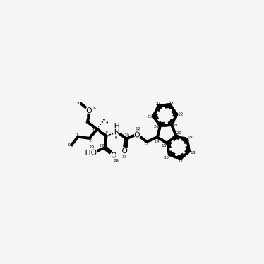 CCC[C@@](C)(COC)[C@H](NC(=O)OCC1c2ccccc2-c2ccccc21)C(=O)O